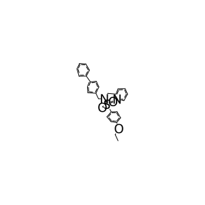 CCOc1ccc(S(=O)(=O)N(Cc2ccc(-c3ccccc3)cc2)Cc2ccccn2)cc1